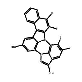 CC(C)(C)c1cc2c3c(c1)-n1nc(C(C)(C)C)c4cc(F)c(F)c(c41)B3c1c(F)c(F)c3ccccc3c1-2